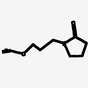 CCCCOCCCN1CCCC1=O